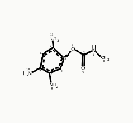 CNC(=O)Oc1cc(N)c(N)cc1C